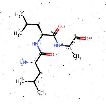 CC(C)C[C@H](NC(=O)[C@@H](N)CC(C)C)C(=O)N[C@@H](C)[C]=O